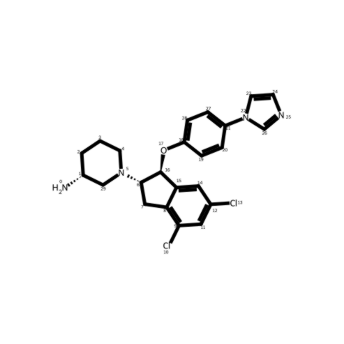 N[C@@H]1CCCN([C@H]2Cc3c(Cl)cc(Cl)cc3[C@@H]2Oc2ccc(-n3ccnc3)cc2)C1